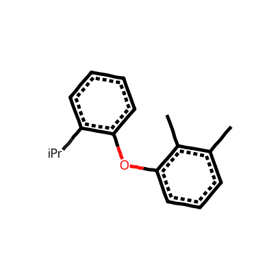 Cc1cccc(Oc2ccccc2C(C)C)c1C